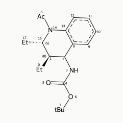 CC[C@@H]1C(NC(=O)OC(C)(C)C)c2ccccc2N(C(C)=O)[C@H]1CC